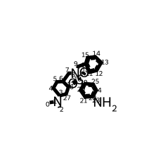 CN(C)C1CCC(CN(Cc2ccccc2)S(=O)(=O)c2ccc(N)cc2)CC1